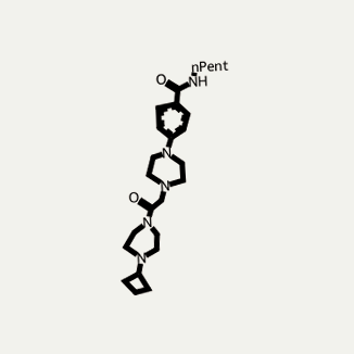 CCCCCNC(=O)c1ccc(N2CCN(CC(=O)N3CCN(C4CCC4)CC3)CC2)cc1